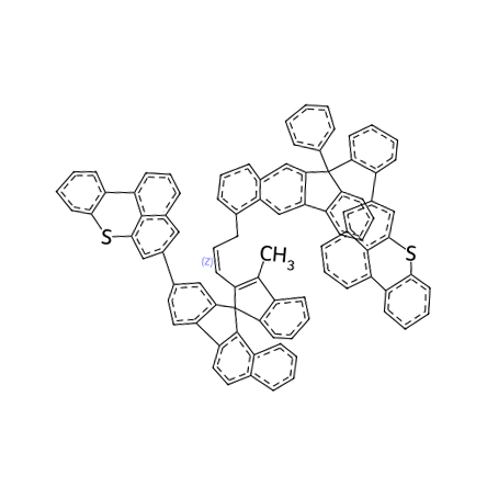 CC1=C(/C=C\Cc2cccc3cc4c(cc23)-c2ccccc2C4(c2ccccc2)c2ccccc2-c2cc3c4c(cccc4c2)-c2ccccc2S3)C2(c3ccccc31)c1cc(-c3cc4c5c(cccc5c3)-c3ccccc3S4)ccc1-c1ccc3ccccc3c12